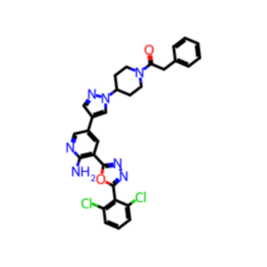 Nc1ncc(-c2cnn(C3CCN(C(=O)Cc4ccccc4)CC3)c2)cc1-c1nnc(-c2c(Cl)cccc2Cl)o1